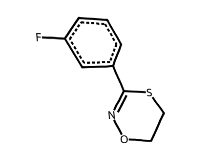 Fc1cccc(C2=NOCCS2)c1